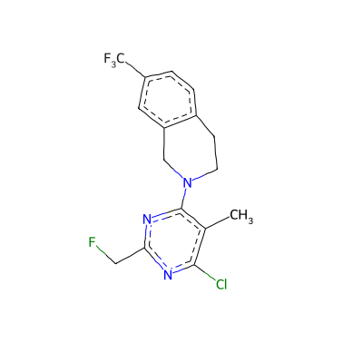 Cc1c(Cl)nc(CF)nc1N1CCc2ccc(C(F)(F)F)cc2C1